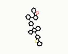 c1ccc(-c2cccc3oc4ccccc4c23)c(-c2ccc(-c3c4ccccc4c(-c4ccc5c(c4)sc4ccccc45)c4ccccc34)cc2)c1